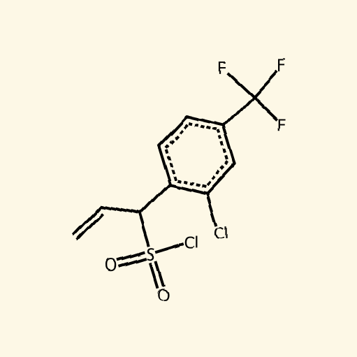 C=CC(c1ccc(C(F)(F)F)cc1Cl)S(=O)(=O)Cl